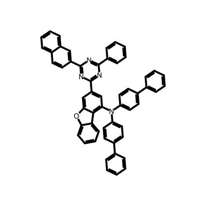 c1ccc(-c2ccc(N(c3ccc(-c4ccccc4)cc3)c3cc(-c4nc(-c5ccccc5)nc(-c5ccc6ccccc6c5)n4)cc4oc5ccccc5c34)cc2)cc1